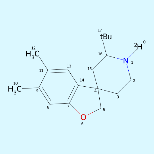 [2H]N1CCC2(COc3cc(C)c(C)cc32)CC1C(C)(C)C